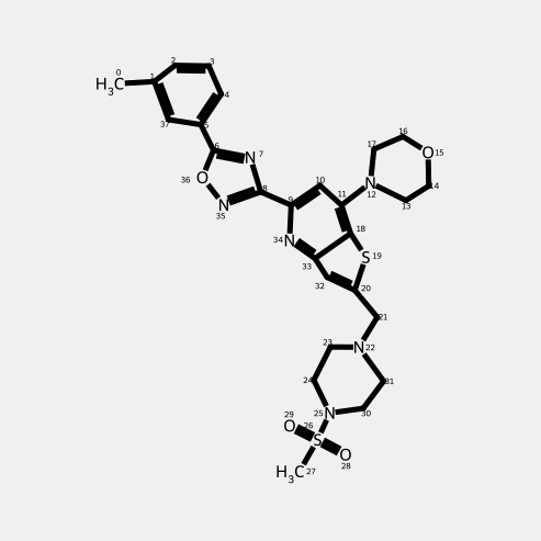 Cc1cccc(-c2nc(-c3cc(N4CCOCC4)c4sc(CN5CCN(S(C)(=O)=O)CC5)cc4n3)no2)c1